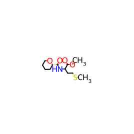 COC(=O)C(CCSC)NC(=O)[C@@H]1CCCCO1